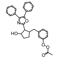 CC(=O)OOc1cccc(CC2CCC(O)C2c2nc(-c3ccccc3)c(-c3ccccc3)o2)c1